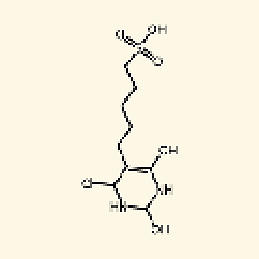 O=S(=O)(O)CCCCCC1=C(O)NC(O)NC1Cl